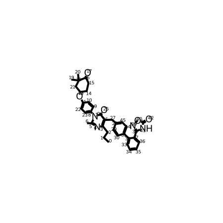 CCCc1nc(C)n(-c2ccc(OC3CCC(=O)C(C)(C)C3)cc2)c(=O)c1Cc1ccc(-c2ccccc2-c2noc(=O)[nH]2)cc1